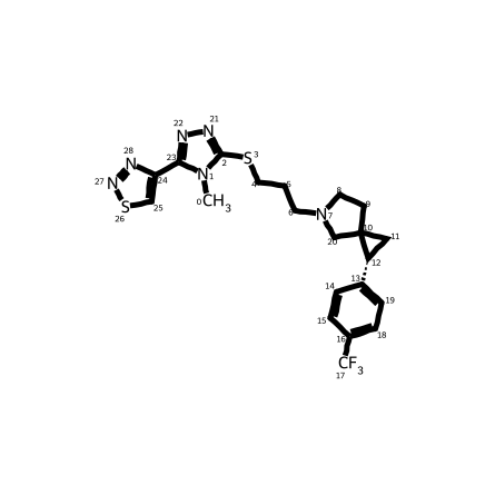 Cn1c(SCCCN2CCC3(C[C@@H]3c3ccc(C(F)(F)F)cc3)C2)nnc1-c1csnn1